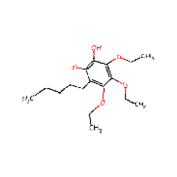 CCCCCc1c(O)c(O)c(OCC)c(OCC)c1OCC